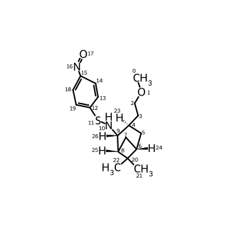 COCC[C@H]1C[C@H]2C[C@@H]([C@@H]1NSc1ccc(N=O)cc1)C2(C)C